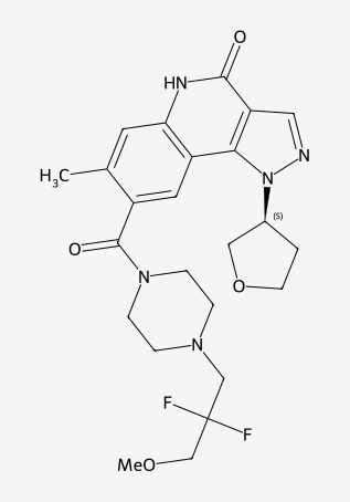 COCC(F)(F)CN1CCN(C(=O)c2cc3c(cc2C)[nH]c(=O)c2cnn([C@H]4CCOC4)c23)CC1